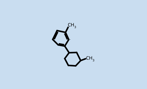 Cc1[c]c(C2CCCC(C)C2)ccc1